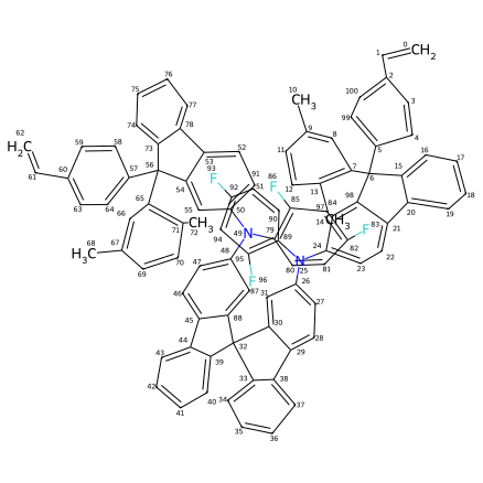 C=Cc1ccc(C2(c3cc(C)ccc3C)c3ccccc3-c3ccc(N(c4ccc5c(c4)C4(c6ccccc6-5)c5ccccc5-c5ccc(N(c6ccc7c(c6)C(c6ccc(C=C)cc6)(c6cc(C)ccc6C)c6ccccc6-7)c6ccc(F)cc6F)cc54)c4ccc(F)cc4F)cc32)cc1